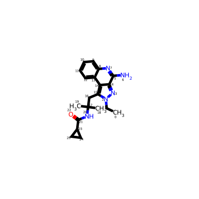 CCn1nc2c(N)nc3ccccc3c2c1CC(C)(C)NC(=O)C1CC1